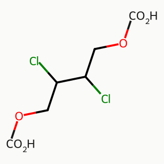 O=C(O)OCC(Cl)C(Cl)COC(=O)O